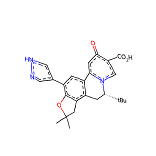 CC1(C)Cc2c3c(cc(-c4cn[nH]c4)c2O1)-c1cc(=O)c(C(=O)O)cn1[C@H](C(C)(C)C)C3